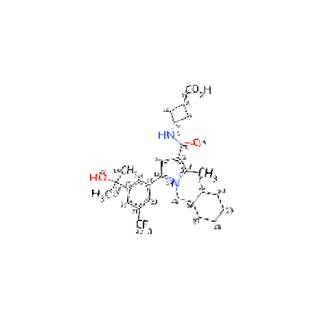 Cc1c(C(=O)N[C@H]2C[C@H](C(=O)O)C2)cc(-c2cc(C(C)(C)O)cc(C(F)(F)F)c2)n1CC1CCCCC1